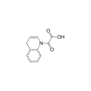 O=C(O)C(=O)N1C=CCc2ccccc21